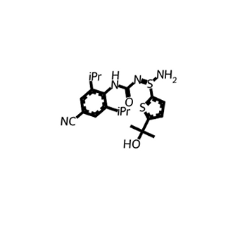 CC(C)c1cc(C#N)cc(C(C)C)c1NC(=O)/N=S(/N)c1ccc(C(C)(C)O)s1